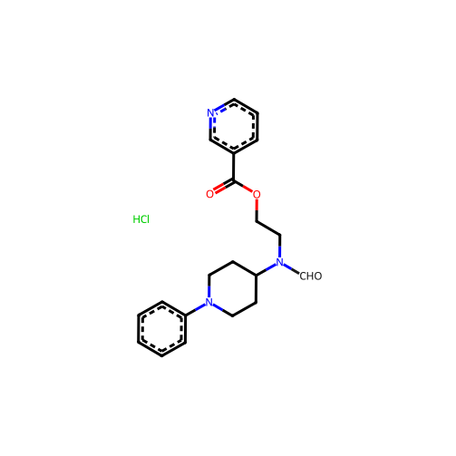 Cl.O=CN(CCOC(=O)c1cccnc1)C1CCN(c2ccccc2)CC1